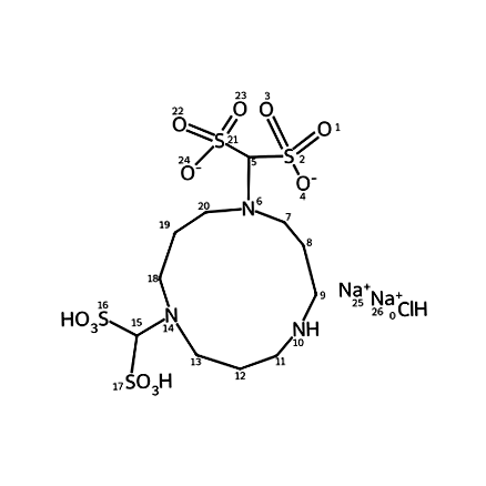 Cl.O=S(=O)([O-])C(N1CCCNCCCN(C(S(=O)(=O)O)S(=O)(=O)O)CCC1)S(=O)(=O)[O-].[Na+].[Na+]